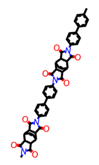 Cc1ccc(-c2ccc(N3C(=O)C4C5C=CC(C4C3=O)C3C(=O)N(c4ccc(-c6ccc(N7C(=O)C8C9C=CC(C%10C(=O)N(C)C(=O)C9%10)C8C7=O)cc6)cc4)C(=O)C53)cc2)cc1